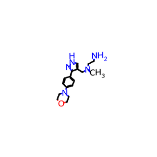 CN(CCN)Cc1c[nH]nc1-c1ccc(N2CCOCC2)cc1